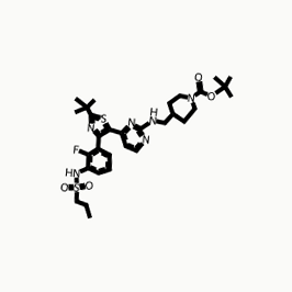 CCCS(=O)(=O)Nc1cccc(-c2nc(C(C)(C)C)sc2-c2ccnc(NCC3CCN(C(=O)OC(C)(C)C)CC3)n2)c1F